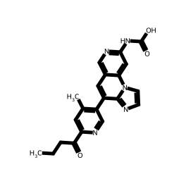 CCCC(=O)c1cc(C)c(-c2cc3cnc(NC(=O)O)cc3n3ccnc23)cn1